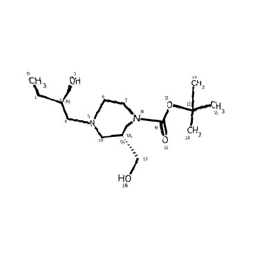 CC[C@@H](O)CN1CCN(C(=O)OC(C)(C)C)[C@H](CO)C1